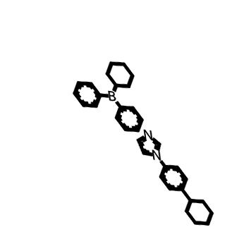 c1ccc(B(c2ccccc2)C2CCCCC2)cc1.c1cn(-c2ccc(C3CCCCC3)cc2)cn1